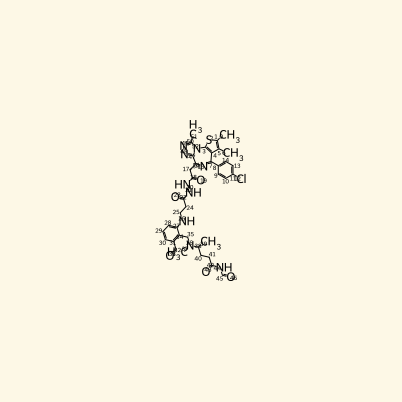 Cc1sc2c(c1C)C(c1ccc(Cl)cc1)=N[C@@H](CC(=O)NNC(=O)CCNc1cccc(C=O)c1CN(C)C(C)CCC(=O)NC=O)c1nnc(C)n1-2